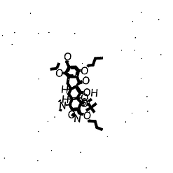 CCCCOc1cc(C=O)c(OC(C)C)c2c1C(=O)C1=C(O)[C@]3(O[Si](C)(C)C(C)(C)C)C(=O)c4c(OCCCC)noc4[C@@H](N(C)C)[C@@H]3C[C@@H]1C2